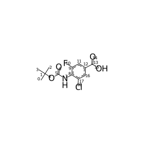 CC(C)(C)OC(=O)Nc1c(F)cc(C(=O)O)cc1Cl